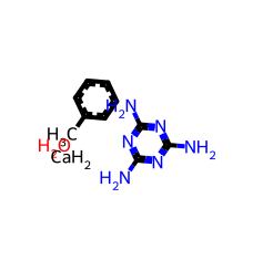 Cc1ccccc1.Nc1nc(N)nc(N)n1.O.[CaH2]